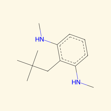 CNc1cccc(NC)c1CC(C)(C)C